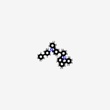 c1ccc(-c2ccc(-n3c4ccccc4c4cc(-c5cccc6c5c5ccc7cccc8c9ccccc9n6c5c78)ccc43)cc2)cc1